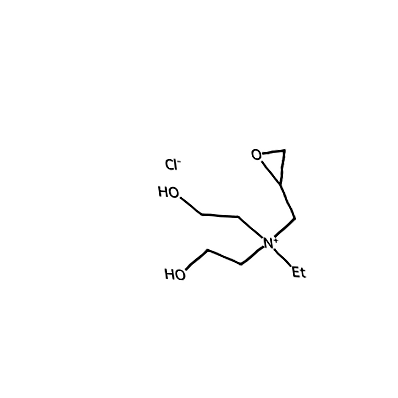 CC[N+](CCO)(CCO)CC1CO1.[Cl-]